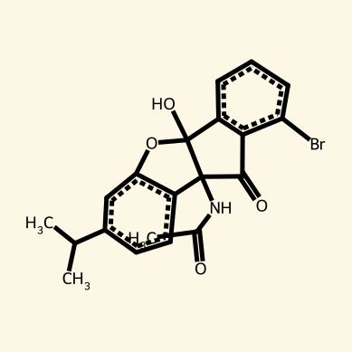 CC(=O)NC12C(=O)c3c(Br)cccc3C1(O)Oc1cc(C(C)C)ccc12